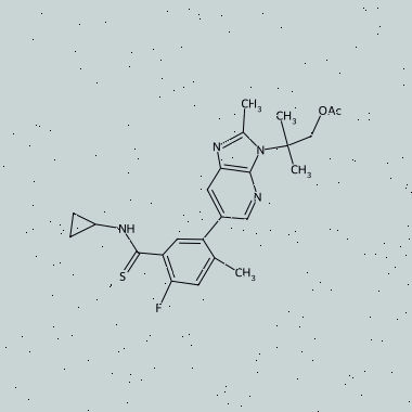 CC(=O)OCC(C)(C)n1c(C)nc2cc(-c3cc(C(=S)NC4CC4)c(F)cc3C)cnc21